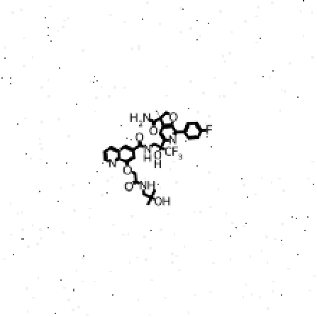 CC(C)(O)CNC(=O)COc1cc(C(=O)NCC(O)(c2cc3c(c(-c4ccc(F)cc4)n2)OC[C@]3(C)C(N)=O)C(F)(F)F)cc2cccnc12